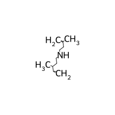 C=CC(C)CCNCCC(=C)C